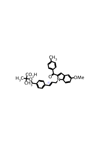 COc1ccc2c(c1)cc(C(=O)c1ccc(C)cc1)n2C/C=C/c1ccc(COC(C)(C)C(=O)O)cc1